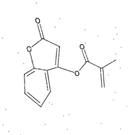 C=C(C)C(=O)Oc1cc(=O)oc2ccccc12